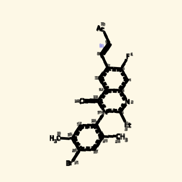 CCc1nc2cc(F)c(/C=C/C(C)=O)cc2c(=O)n1-c1cc(C)c(Br)cc1C